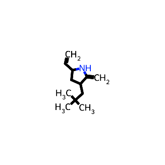 C=CC1CC(CC(C)(C)C)C(=C)N1